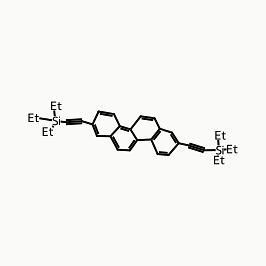 CC[Si](C#Cc1ccc2c(ccc3c4ccc(C#C[Si](CC)(CC)CC)cc4ccc23)c1)(CC)CC